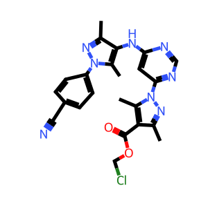 Cc1nn(-c2ccc(C#N)cc2)c(C)c1Nc1cc(-n2nc(C)c(C(=O)OCCl)c2C)ncn1